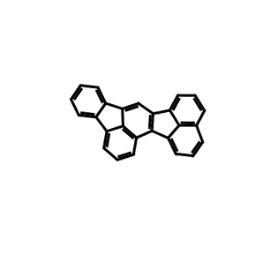 c1ccc2c(c1)c1cccc3c1c2cc1c2cccc4cccc(c42)c13